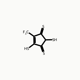 FC(F)(F)C1=C(S)C(=S)C(S)C1=S